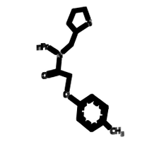 CCCN(CC1CCCS1)C(=O)COc1ccc(C)cc1